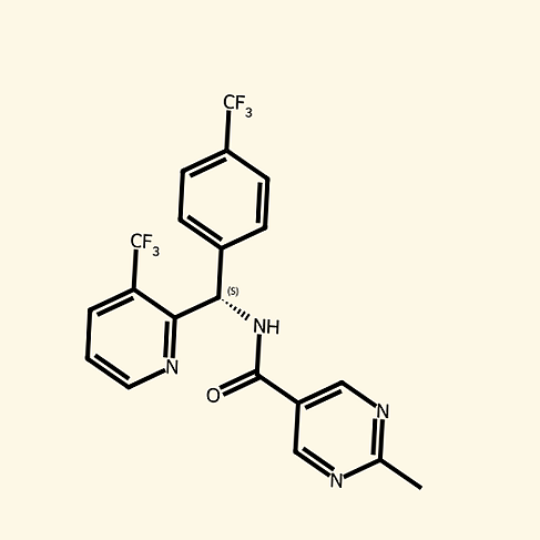 Cc1ncc(C(=O)N[C@@H](c2ccc(C(F)(F)F)cc2)c2ncccc2C(F)(F)F)cn1